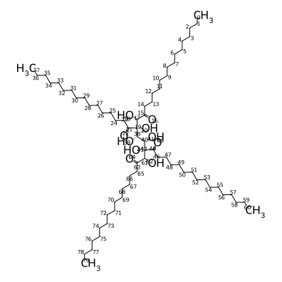 CCCCCCCCCCCCCCCC(=O)C(O)[C@](O)(C(=O)CCCCCCCCCCCCCCC)[C@@H](O)[C@H](O)[C@@](O)(C(=O)CCCCCCCCCCCCCCC)C(O)C(=O)CCCCCCCCCCCCCCC